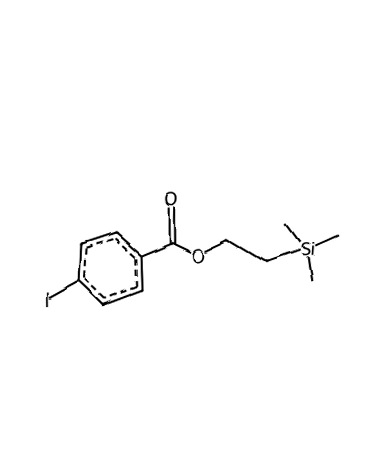 C[Si](C)(C)CCOC(=O)c1ccc(I)cc1